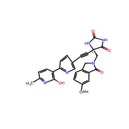 COc1ccc2c(c1)C(=O)N(C[C@@]1(C#Cc3ccc(-c4ccc(C)nc4O)nc3)NC(=O)NC1=O)C2